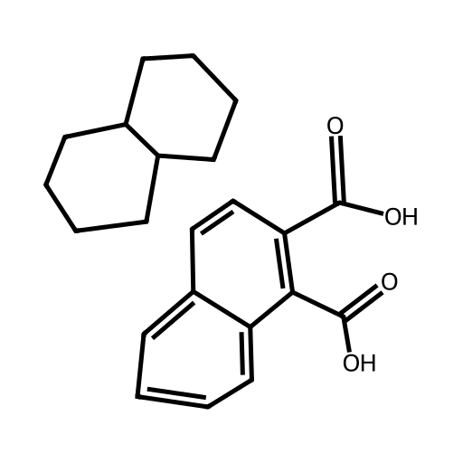 C1CCC2CCCCC2C1.O=C(O)c1ccc2ccccc2c1C(=O)O